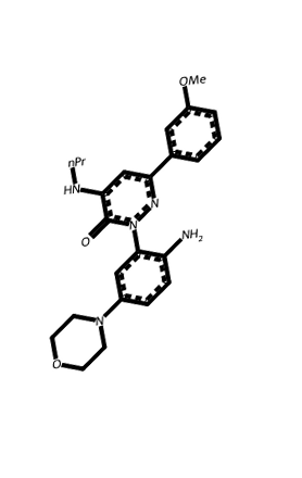 CCCNc1cc(-c2cccc(OC)c2)nn(-c2cc(N3CCOCC3)ccc2N)c1=O